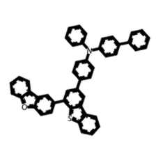 c1ccc(-c2ccc(N(c3ccccc3)c3ccc(-c4cc(-c5ccc6oc7ccccc7c6c5)c5sc6ccccc6c5c4)cc3)cc2)cc1